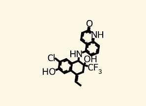 CC=C1CC(O)(C(F)(F)F)C(Nc2cccc3[nH]c(=O)ccc23)c2cc(Cl)c(O)cc21